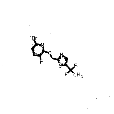 CC(F)(F)c1cnc(COc2nc(Br)ccc2F)s1